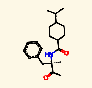 CC(=O)[C@@](C)(Cc1ccccc1)NC(=O)C1CCC(C(C)C)CC1